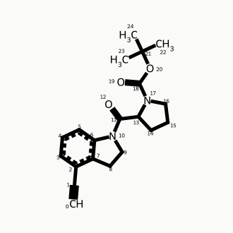 C#Cc1cccc2c1CCN2C(=O)C1CCCN1C(=O)OC(C)(C)C